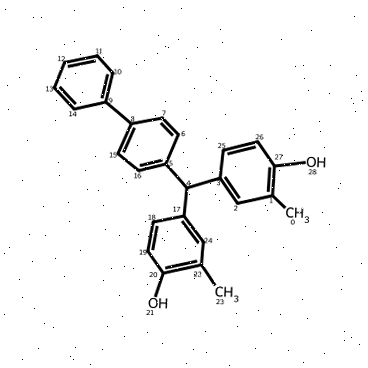 Cc1cc(C(c2ccc(-c3ccccc3)cc2)c2ccc(O)c(C)c2)ccc1O